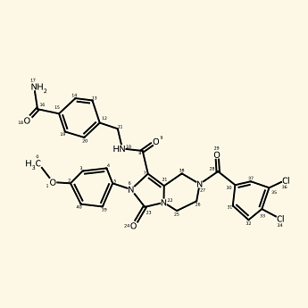 COc1ccc(-n2c(C(=O)NCc3ccc(C(N)=O)cc3)c3n(c2=O)CCN(C(=O)c2ccc(Cl)c(Cl)c2)C3)cc1